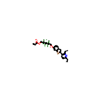 C=CC(=O)OCC(F)(F)C(F)(F)C(F)(F)COc1ccc2cc(-c3ccc(CC)nc3CC)sc2c1